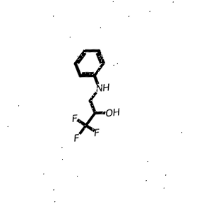 OC(CNc1ccccc1)C(F)(F)F